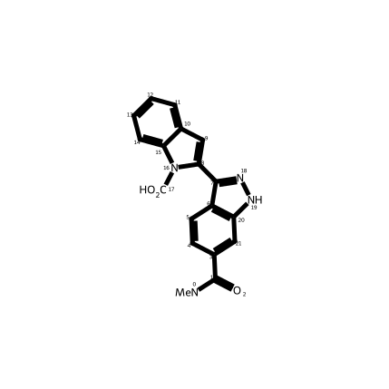 CNC(=O)c1ccc2c(-c3cc4ccccc4n3C(=O)O)n[nH]c2c1